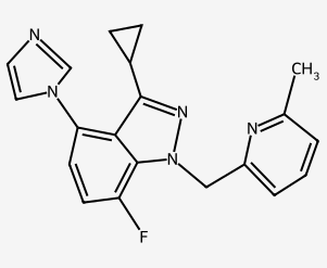 Cc1cccc(Cn2nc(C3CC3)c3c(-n4ccnc4)ccc(F)c32)n1